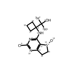 [2H]C([2H])(O)C1(Nc2nc(Cl)nc3c2[S@+]([O-])CC3)CCC1